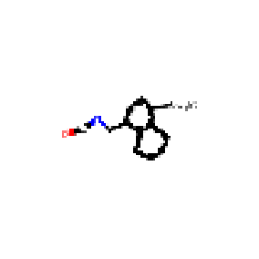 CCOC(=O)c1ccc(CN=C=O)c2ccccc12